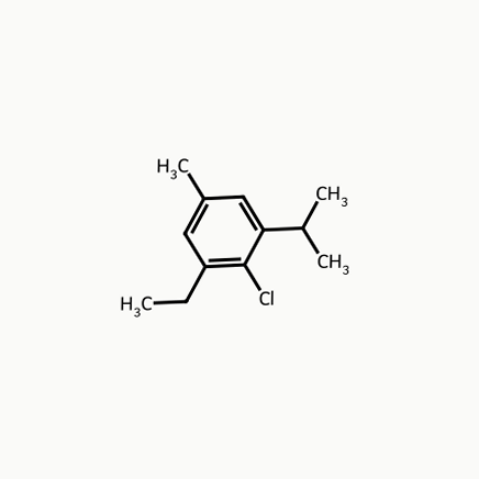 CCc1cc(C)cc(C(C)C)c1Cl